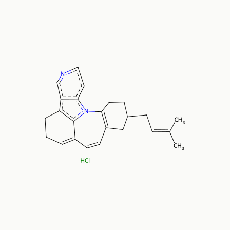 CC(C)=CCC1CCC2=C(C=CC3=CCCc4c3n2c2ccncc42)C1.Cl